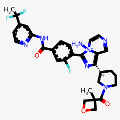 CC1(C(=O)N2CCC[C@@H](C3=C4C=NC=C[N+]4(N)C(c4ccc(C(=O)Nc5cc(C(C)(F)F)ccn5)cc4F)=N3)C2)COC1